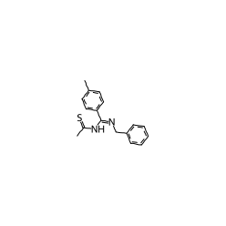 CC(=S)N/C(=N\Cc1ccccc1)c1ccc(C)cc1